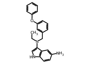 CCN(Cc1cccc(Oc2ccccc2)c1)c1c[nH]c2ccc(N)cc12